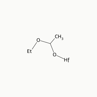 CCOC(C)[O][Hf]